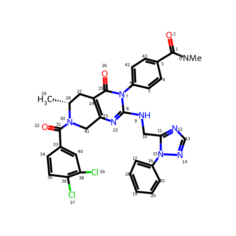 CNC(=O)c1ccc(-n2c(NCc3ncnn3-c3ccccc3)nc3c(c2=O)C[C@@H](C)N(C(=O)c2ccc(Cl)c(Cl)c2)C3)cc1